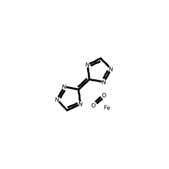 C1=NC(=C2N=CN=N2)N=N1.O=O.[Fe]